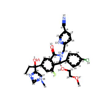 CCC(O)(c1cc(F)c2c(c1)C(=O)N(Cc1ccc(C#N)cn1)[C@@]2(OCCOC)c1ccc(Cl)cc1)c1cn(C)cn1